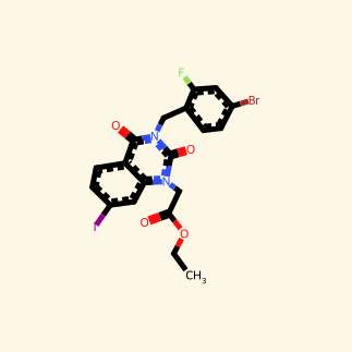 CCOC(=O)Cn1c(=O)n(Cc2ccc(Br)cc2F)c(=O)c2ccc(I)cc21